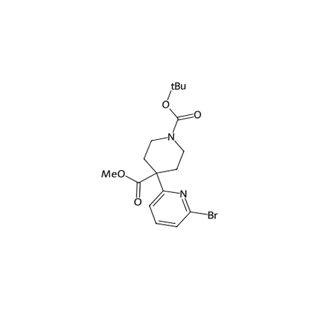 COC(=O)C1(c2cccc(Br)n2)CCN(C(=O)OC(C)(C)C)CC1